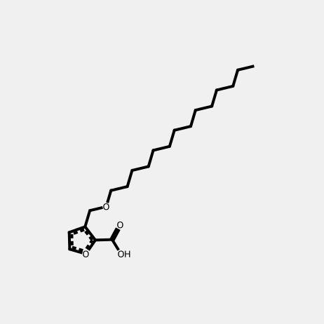 CCCCCCCCCCCCCCOCc1ccoc1C(=O)O